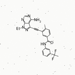 CCn1nc(C#Cc2cc(C(=O)Nc3cccc(C(C)(F)F)c3)ccc2C)c2c(N)ncnc21